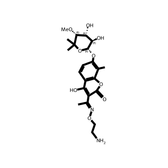 CO[C@@H]1[C@H](O)[C@@H](O)[C@H](Oc2ccc3c(O)c(C(C)=NOCCN)c(=O)oc3c2C)OC1(C)C